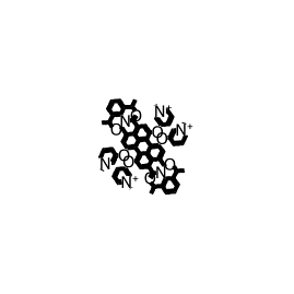 CC(C)c1cccc(C(C)C)c1N1C(=O)c2cc(Oc3ccc[n+](C)c3)c3c4c(Oc5ccc[n+](C)c5)cc5c6c(cc(Oc7ccc[n+](C)c7)c(c7c(Oc8ccc[n+](C)c8)cc(c2c37)C1=O)c64)C(=O)N(c1c(C(C)C)cccc1C(C)C)C5=O